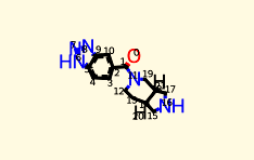 O=C(c1ccc2[nH]nnc2c1)N1CC[C@H]2CNC[C@H]2C1